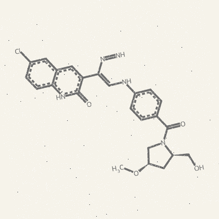 CO[C@@H]1C[C@H](CO)N(C(=O)c2ccc(N/C=C(\N=N)c3cc4cc(Cl)ccc4[nH]c3=O)cc2)C1